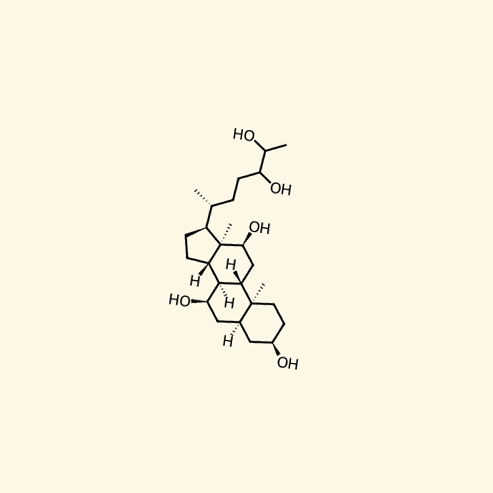 CC(O)C(O)CC[C@@H](C)[C@@H]1CC[C@H]2[C@@H]3[C@H](O)C[C@@H]4C[C@H](O)CC[C@]4(C)[C@H]3C[C@H](O)[C@@]21C